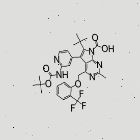 Cc1nc(COc2ccccc2C(F)(F)F)c2c(-c3ccnc(NC(=O)OC(C)(C)C)c3)c(C(C)(C)C)n(C(=O)O)c2n1